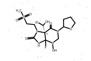 CCC(O)[C@]12C(=O)N(C3CCCO3)CN(O)C1(F)NC(=O)N2CCS(C)(=O)=O